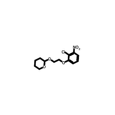 O=[N+]([O-])c1cccc(OCCOC2CCCCO2)c1Cl